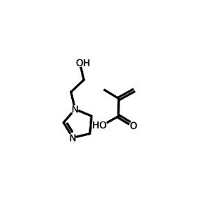 C=C(C)C(=O)O.OCCN1C=NCC1